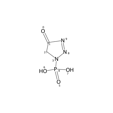 O=C1[CH]N(P(=O)(O)O)N=N1